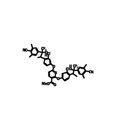 COC(=O)c1ccc(Oc2ccc(C(C)C(O)(c3cc(C)c(C#N)c(C)c3)C(F)(F)F)c(Cl)c2)nc1Oc1ccc(C(C)C(O)(c2cc(C)c(C#N)c(C)c2)C(F)(F)F)c(Cl)c1